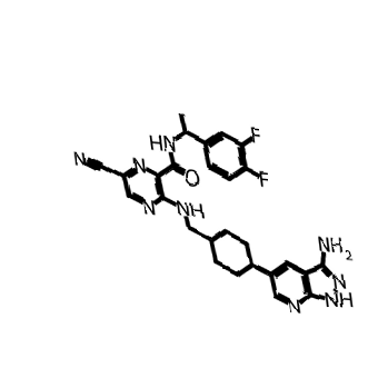 CC(NC(=O)c1nc(C#N)cnc1NCC1CCC(c2cnc3[nH]nc(N)c3c2)CC1)c1ccc(F)c(F)c1